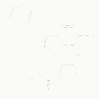 N#Cc1cnc2c(ccn2S(=O)(=O)c2ccccc2)c1NC1CCN(C(=O)NCC(F)(F)F)C1